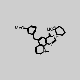 COc1cccc(Cc2cc3c(=O)n([C@H]4CCCC[C@@H]4O)cnc3c3c2C=CCN3C)c1